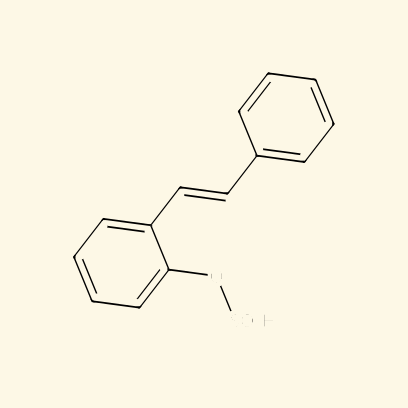 O=S(=O)(O)Oc1ccccc1/C=C/c1ccccc1